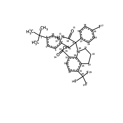 CC(C)(C)c1ccc(CC(C(N)=O)(c2ccc(F)cc2)N2CCCc3c(C(F)(F)F)ccc(C(=O)O)c32)cc1